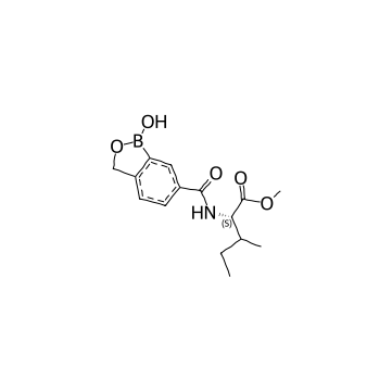 CCC(C)[C@H](NC(=O)c1ccc2c(c1)B(O)OC2)C(=O)OC